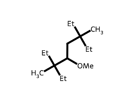 CCC(C)(CC)CC(OC)C(C)(CC)CC